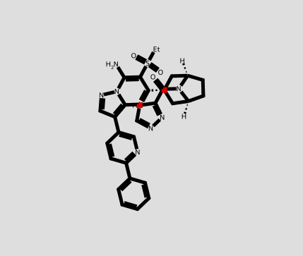 CCS(=O)(=O)c1c([C@@H]2C[C@H]3CC[C@@H](C2)N3C(=O)c2nnc[nH]2)nc2c(-c3ccc(-c4ccccc4)nc3)cnn2c1N